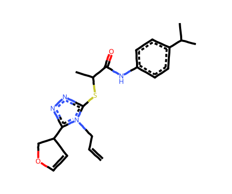 C=CCn1c(SC(C)C(=O)Nc2ccc(C(C)C)cc2)nnc1C1C=COC1